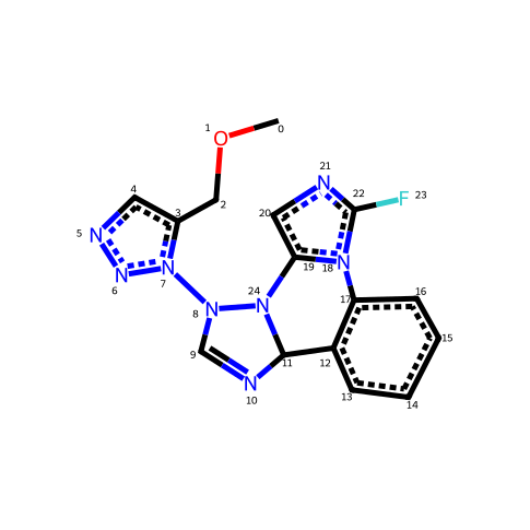 COCc1cnnn1N1C=NC2c3ccccc3-n3c(cnc3F)N21